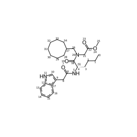 CCCC[C@H](NC(=O)Cc1c[nH]c2ccccc12)C(=O)N(CC(=O)OC)CC1CCCCCCC1